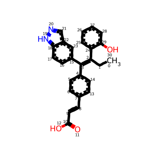 CCC(=C(c1ccc(C=CC(=O)O)cc1)c1ccc2[nH]ncc2c1)c1ccccc1O